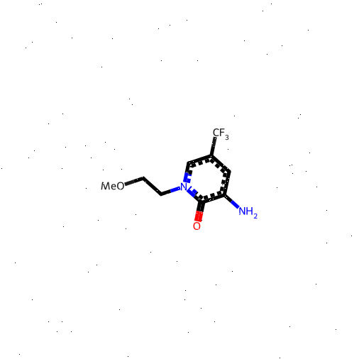 COCCn1cc(C(F)(F)F)cc(N)c1=O